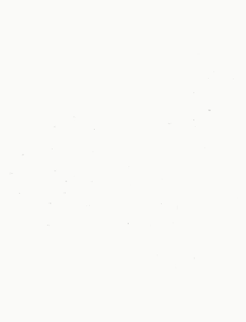 CCC[P+](c1ccccc1)(c1ccccc1)c1ccccc1.CCC[P+](c1ccccc1)(c1ccccc1)c1ccccc1.O=C([O-])CCC(=O)[O-]